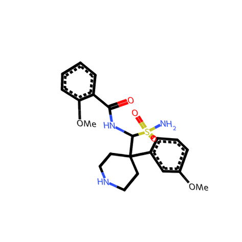 COc1cccc(C2(C(NC(=O)c3ccccc3OC)S(N)(=O)=O)CCNCC2)c1